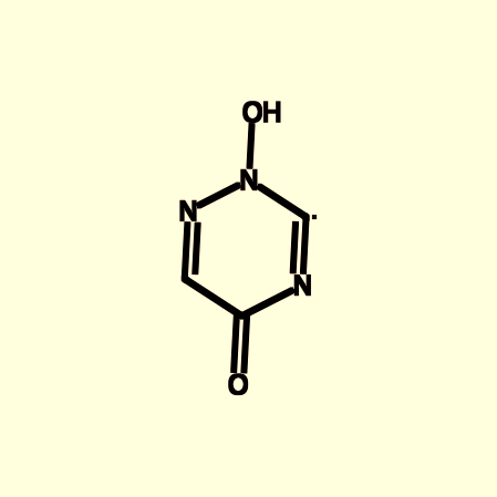 O=c1cnn(O)[c]n1